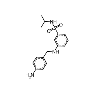 CC(C)NS(=O)(=O)c1cccc(NCc2ccc(N)cc2)c1